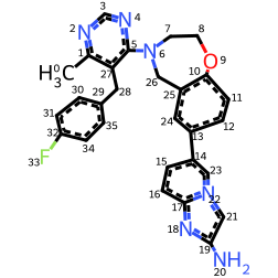 Cc1ncnc(N2CCOc3ccc(-c4ccc5nc(N)cn5c4)cc3C2)c1Cc1ccc(F)cc1